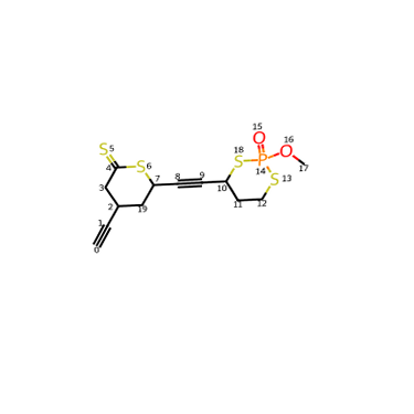 C#CC1CC(=S)SC(C#CC2CCSP(=O)(OC)S2)C1